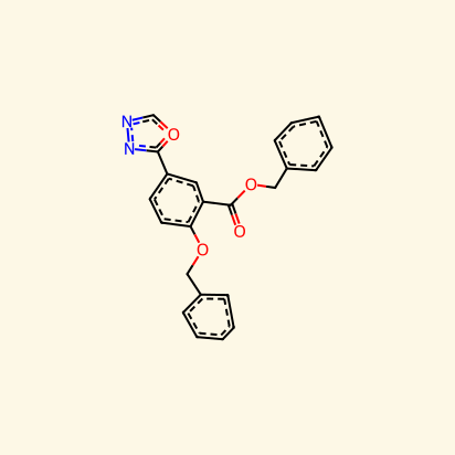 O=C(OCc1ccccc1)c1cc(-c2nnco2)ccc1OCc1ccccc1